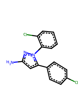 Nc1cc(-c2ccc(Cl)cc2)n(-c2ccccc2Cl)n1